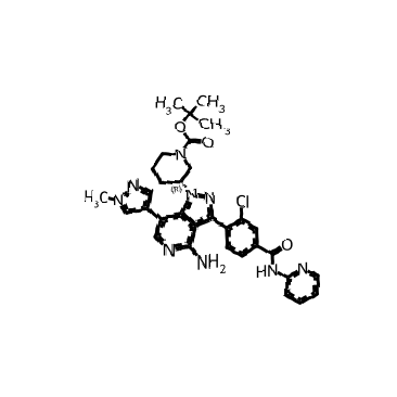 Cn1cc(-c2cnc(N)c3c(-c4ccc(C(=O)Nc5ccccn5)cc4Cl)nn([C@@H]4CCCN(C(=O)OC(C)(C)C)C4)c23)cn1